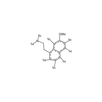 [2H]c1c([2H])c(CCN([2H])C(C)=O)c2c([2H])c(OC)c([2H])c([2H])c2c1[2H]